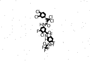 O=C(Nc1cc(NC(=O)C(F)(F)F)c(F)cc1F)c1cc(NC(=O)[C@H]2[C@H](c3ccc(Cl)c(Cl)c3)C2(Cl)Cl)cc(F)c1Cl